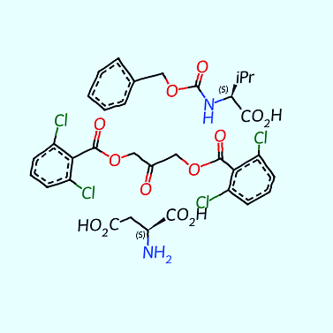 CC(C)[C@H](NC(=O)OCc1ccccc1)C(=O)O.N[C@@H](CC(=O)O)C(=O)O.O=C(COC(=O)c1c(Cl)cccc1Cl)COC(=O)c1c(Cl)cccc1Cl